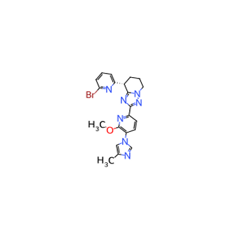 COc1nc(-c2nc3n(n2)CCC[C@H]3c2cccc(Br)n2)ccc1-n1cnc(C)c1